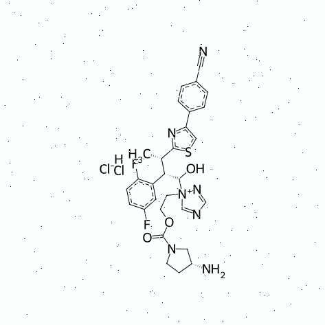 C[C@H](c1nc(-c2ccc(C#N)cc2)cs1)[C@@H](c1cc(F)ccc1F)C(O)[N+]1(CCOC(=O)N2CC[C@@H](N)C2)C=NC=N1.Cl.[Cl-]